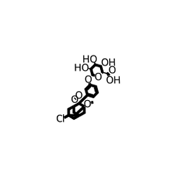 COC1(c2cccc(O[C@@H]3O[C@H](C(=O)O)[C@@H](O)[C@H](O)[C@H]3O)c2)OOC12C1CC3CC2CC(Cl)(C3)C1